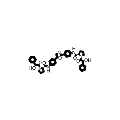 O=C(Nc1ccc(-c2cnc(-c3ccc(NC(=O)[C@@H]4CCCN4C(=O)[C@@H](O)c4ccccc4)cc3)o2)cc1)[C@@H]1CCCN1C(=O)[C@@H](O)c1ccccc1